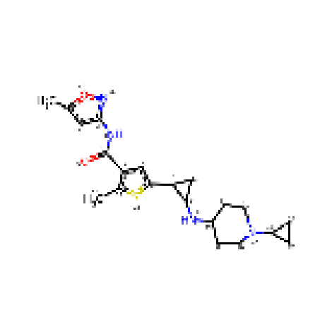 Cc1cc(NC(=O)c2cc(C3CC3NC3CCN(C4CC4)CC3)sc2C)no1